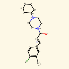 O=C(/C=C/c1ccc(F)c(C(F)(F)F)c1)N1CCN(C2CCCCC2)CC1